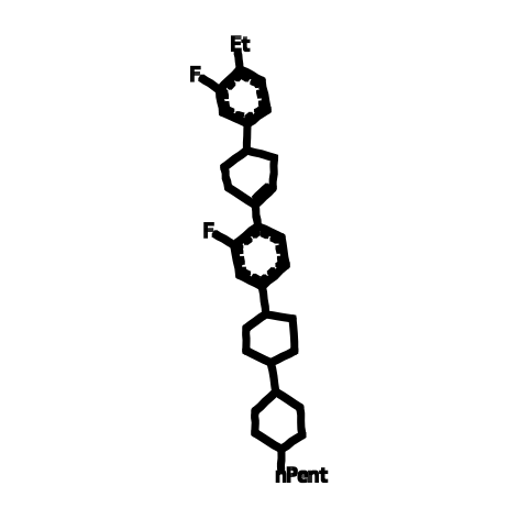 CCCCCC1CCC(C2CCC(c3ccc(C4=CCC(c5ccc(CC)c(F)c5)CC4)c(F)c3)CC2)CC1